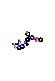 CC(C)n1c(=O)ccc2cnc(NC3(c4ccc(C5(N6CCN(C(=O)Oc7ccccc7)CC6)CCOCC5)cc4)CC3)nc21